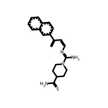 C=C(/C=C\N=C(/N)N1CCC(C(N)=S)CC1)c1ccc2ccccc2c1